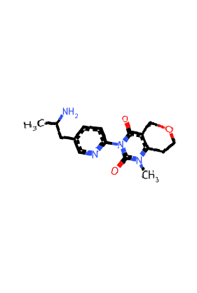 CC(N)Cc1ccc(-n2c(=O)c3c(n(C)c2=O)CCOC3)nc1